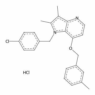 Cc1cccc(COc2ccnc3c(C)c(C)n(Cc4ccc(Cl)cc4)c23)c1.Cl